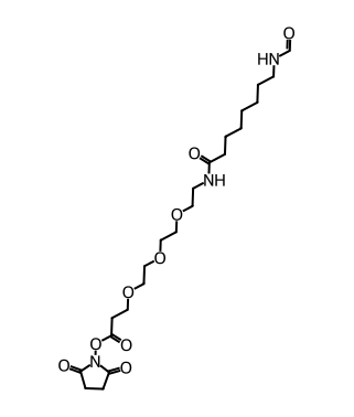 O=CNCCCCCCCC(=O)NCCOCCOCCOCCC(=O)ON1C(=O)CCC1=O